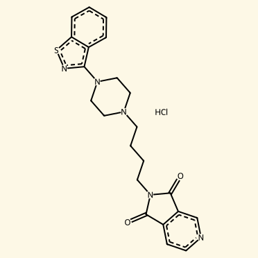 Cl.O=C1c2ccncc2C(=O)N1CCCCN1CCN(c2nsc3ccccc23)CC1